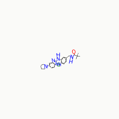 CC(C)(C)C(=O)NCc1ccc(Cl)c(Nc2nc3cc(N4CCCC4)ccc3[nH]2)c1